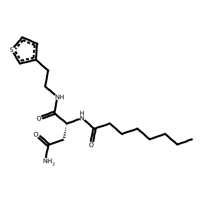 CCCCCCCC(=O)N[C@H](CC(N)=O)C(=O)NCCc1ccsc1